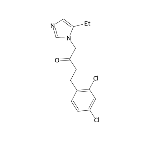 CCc1cncn1CC(=O)CCc1ccc(Cl)cc1Cl